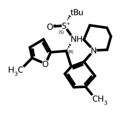 Cc1ccc([C@@H](N[S@+]([O-])C(C)(C)C)c2ccc(C)o2)c(N2CCCCC2)c1